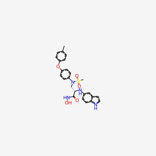 Cc1ccc(Oc2ccc(N(C[C@H](Nc3ccc4[nH]ccc4c3)C(=O)NO)S(C)(=O)=O)cc2)cc1